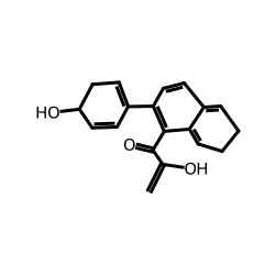 C=C(O)C(=O)c1c(C2=CCC(O)C=C2)ccc2c1=CCCC=2